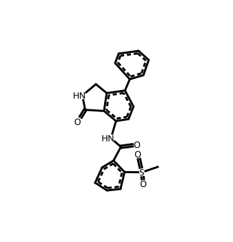 CS(=O)(=O)c1ccccc1C(=O)Nc1ccc(-c2ccccc2)c2c1C(=O)NC2